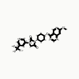 COc1cc2ncnc(O[C@H]3CC[C@@H](N4C(=O)CN(c5cncc(C(F)(F)F)c5)C4=O)CC3)c2cn1